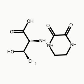 C[C@@H](O)[C@H](N)C(=O)O.O=C1NCCNC1=O